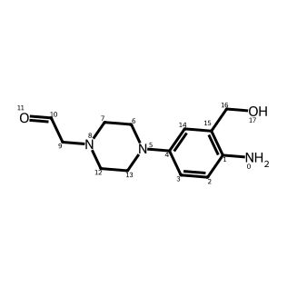 Nc1ccc(N2CCN(CC=O)CC2)cc1CO